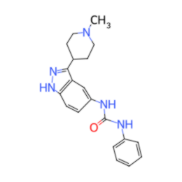 CN1CCC(c2n[nH]c3ccc(NC(=O)Nc4ccccc4)cc23)CC1